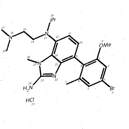 COc1cc(Br)cc(C)c1-c1ccc(N(CCN(C)C)C(C)C)c2c1nc(N)n2C.Cl